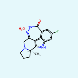 C[C@]12CCCN1CC1=NNC(=O)c3cc(F)cc4[nH]c2c1c34.O